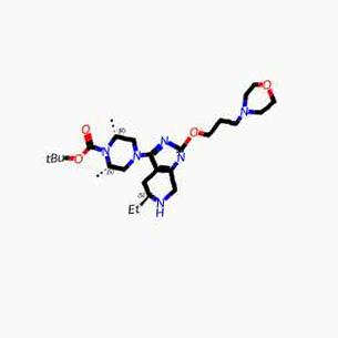 CC[C@H]1Cc2c(nc(OCCCN3CCOCC3)nc2N2C[C@@H](C)N(C(=O)OC(C)(C)C)[C@@H](C)C2)CN1